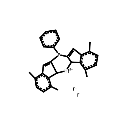 Cc1ccc(C)c2c1C=C1[CH]2[Hf+2][CH]2C(=Cc3c(C)ccc(C)c32)P1c1ccccc1.[F-].[F-]